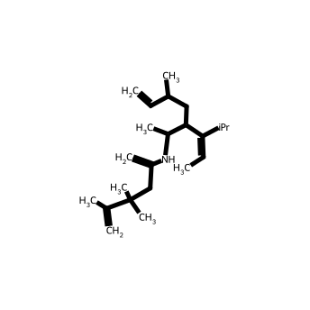 C=CC(C)CC(/C(=C\C)C(C)C)C(C)NC(=C)CC(C)(C)C(=C)C